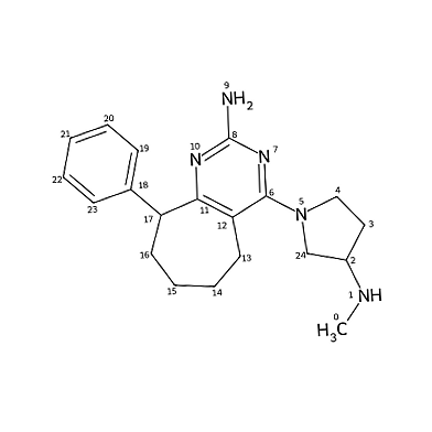 CNC1CCN(c2nc(N)nc3c2CCCCC3c2ccccc2)C1